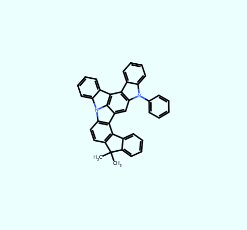 CC1(C)c2ccccc2-c2c1ccc1c2c2cc3c(c4ccccc4n3-c3ccccc3)c3c4ccccc4n1c23